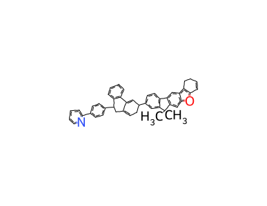 CC1(C)c2cc(C3C=C4C(=CC3)CC(c3ccc(-c5ccccn5)cc3)c3ccccc34)ccc2-c2cc3c4c(oc3cc21)C=CCC4